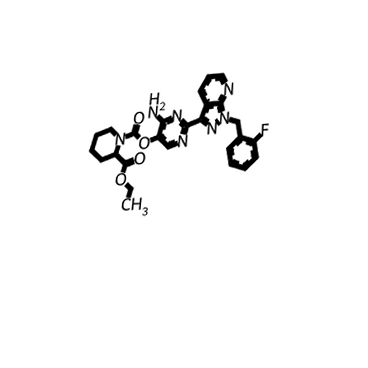 CCOC(=O)C1CCCCN1C(=O)Oc1cnc(-c2nn(Cc3ccccc3F)c3ncccc23)nc1N